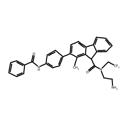 Cc1c(-c2ccc(NC(=O)c3ccccc3)cc2)ccc2c1C(C(=O)N(CCN)CC(F)(F)F)c1ccccc1-2